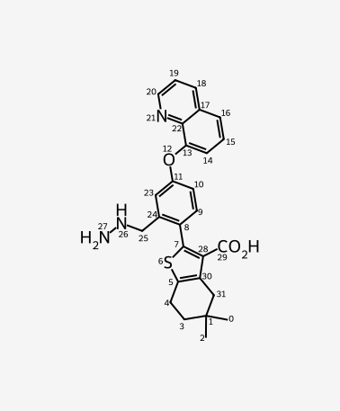 CC1(C)CCc2sc(-c3ccc(Oc4cccc5cccnc45)cc3CNN)c(C(=O)O)c2C1